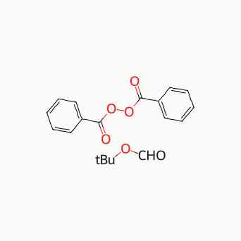 CC(C)(C)OC=O.O=C(OOC(=O)c1ccccc1)c1ccccc1